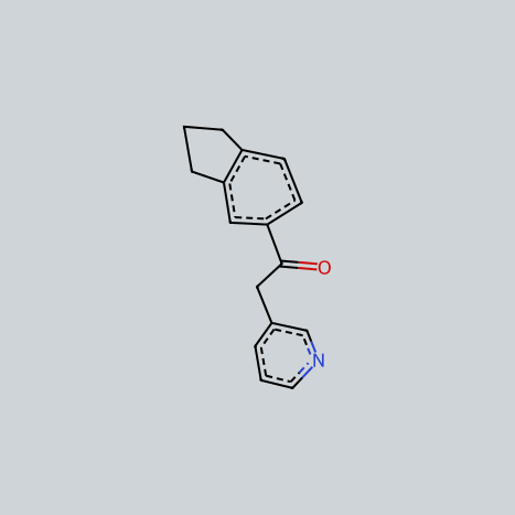 O=C(Cc1cccnc1)c1ccc2c(c1)CCC2